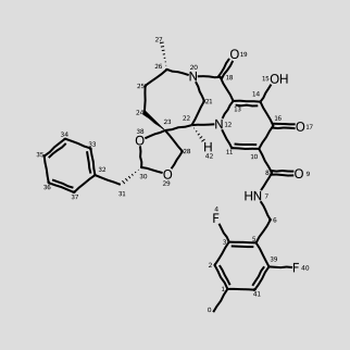 Cc1cc(F)c(CNC(=O)c2cn3c(c(O)c2=O)C(=O)N2C[C@@H]3[C@]3(CC[C@@H]2C)CO[C@H](Cc2ccccc2)O3)c(F)c1